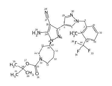 Cc1c(Cn2cc(-c3nn([C@H]4CCCN(C(=O)OC(C)(C)C)CC4)c(N)c3C#N)cn2)cccc1C(F)(F)F